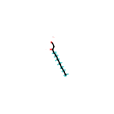 COC(=O)CC(O)C(F)(F)C(F)(F)C(F)(F)C(F)(F)C(F)(F)C(F)(F)C(F)(F)F